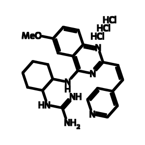 COc1ccc2nc(/C=C\c3ccncc3)nc(NC3CCCCC3NC(=N)N)c2c1.Cl.Cl.Cl